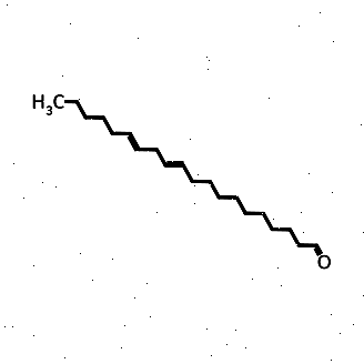 CCCCCC=CCC=CCCCCCCCCCC=O